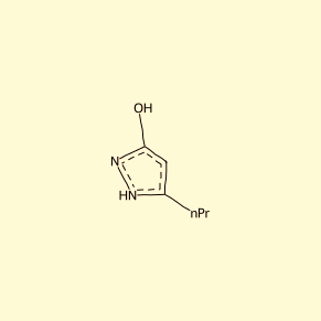 CCCc1cc(O)n[nH]1